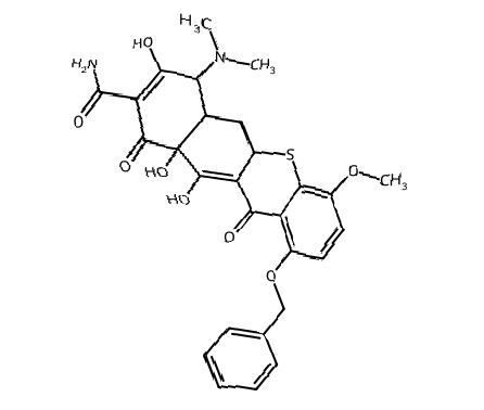 COc1ccc(OCc2ccccc2)c2c1SC1CC3C(N(C)C)C(O)=C(C(N)=O)C(=O)C3(O)C(O)=C1C2=O